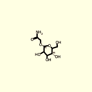 NC(=O)CO[C@@H]1OC(CO)[C@H](O)C(O)C1O